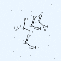 FC(F)[SiH3].O=NO.O=NO.O=NO